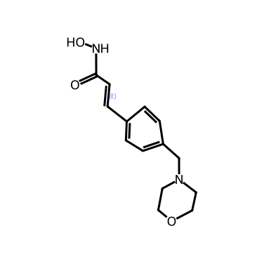 O=C(/C=C/c1ccc(CN2CCOCC2)cc1)NO